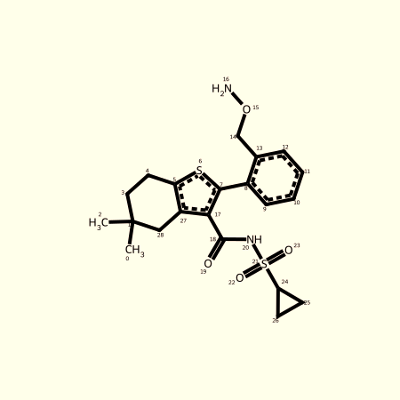 CC1(C)CCc2sc(-c3ccccc3CON)c(C(=O)NS(=O)(=O)C3CC3)c2C1